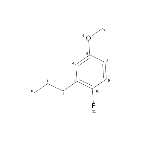 CCCc1cc(OC)ccc1F